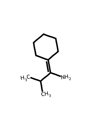 CC(C)C(N)=C1CCCCC1